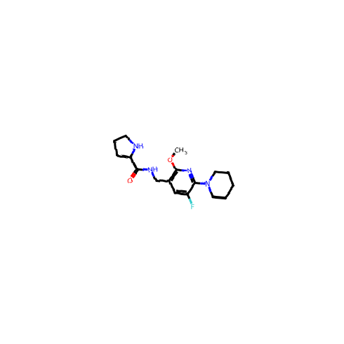 COc1nc(N2CCCCC2)c(F)cc1CNC(=O)C1CCCN1